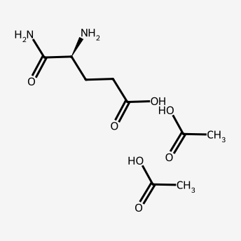 CC(=O)O.CC(=O)O.NC(=O)[C@@H](N)CCC(=O)O